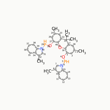 Cc1cc(OPn2cc(C)c3ccccc32)c2c(c1)C(C)(C)c1cc(C)cc(OPn3cc(C)c4ccccc43)c1O2